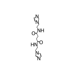 O=C(CCC(=O)NCCn1ccnc1)NCCn1ccnc1